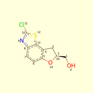 OC[C@@H]1Cc2c(ccc3nc(Cl)sc23)O1